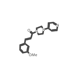 COc1cccc(C=CC(=O)N2CCN(c3ccncc3)CC2)c1